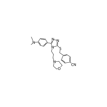 CN(C)c1ccc(-c2nnc(SCc3ccc(C#N)cc3)n2CCCN2CCOCC2)cc1